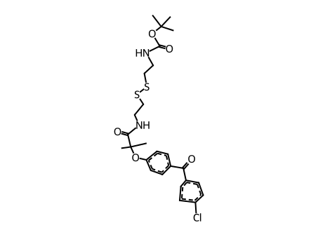 CC(C)(C)OC(=O)NCCSSCCNC(=O)C(C)(C)Oc1ccc(C(=O)c2ccc(Cl)cc2)cc1